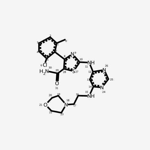 Cc1cccc(Cl)c1-c1nc(Nc2cc(NCCN3CCOCC3)ncn2)sc1C(N)=O